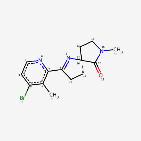 Cc1c(Br)ccnc1C1=N[C@@]2(CC1)CCN(C)C2=O